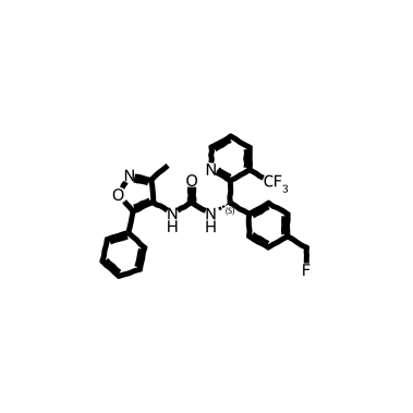 Cc1noc(-c2ccccc2)c1NC(=O)N[C@@H](c1ccc(CF)cc1)c1ncccc1C(F)(F)F